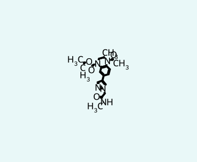 CNC(=O)Cn1cc(-c2ccc3c(c2)N(C(=O)OC(C)C)C[C@H](C)N3C(C)=O)cn1